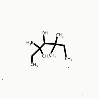 BC(C)(CC)C(O)C(C)(C)CC